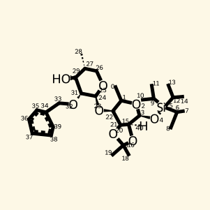 CC1O[C@@H](O[Si](C(C)C)(C(C)C)C(C)C)[C@H]2OC(C)(C)OC2[C@H]1O[C@@H]1OC[C@@H](C)C(O)[C@H]1OCc1ccccc1